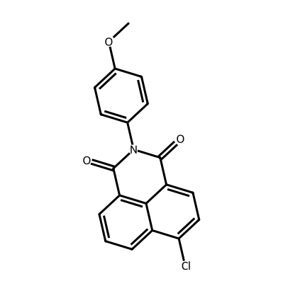 COc1ccc(N2C(=O)c3cccc4c(Cl)ccc(c34)C2=O)cc1